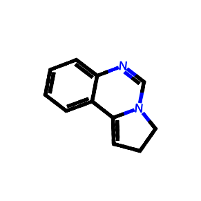 C1=Nc2ccccc2C2=CCCN12